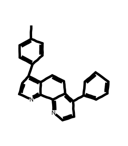 Cc1ccc(-c2ccnc3c2ccc2c(-c4ccccc4)ccnc23)cc1